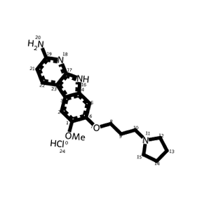 COc1cc2c(cc1OCCCN1CCCC1)[nH]c1nc(N)ccc12.Cl